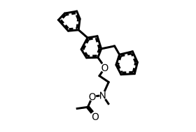 CC(=O)ON(C)CCOc1ccc(-c2ccccc2)cc1Cc1ccccc1